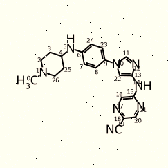 CN1CCC(Nc2ccc(-n3cnc(Nc4cnc(C#N)cn4)c3)cc2)CC1